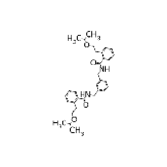 CC(C)OCCc1ccccc1C(=O)NCc1cccc(CNC(=O)c2ccccc2CCOC(C)C)c1